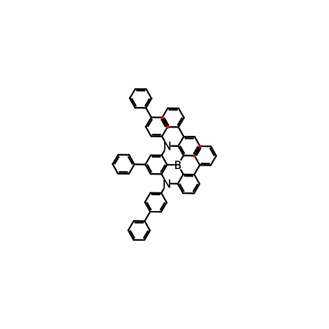 c1ccc(-c2ccc(N3c4cccc(-c5ccccc5)c4B4c5cccc(-c6ccccc6)c5N(c5ccc(-c6ccccc6)cc5)c5cc(-c6ccccc6)cc3c54)cc2)cc1